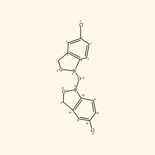 Clc1ccc2c(c1)COB2OB1OCc2cc(Cl)ccc21